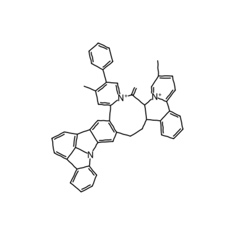 C=C1C2C(CCc3cc4c(cc3-c3cc(C)c(-c5ccccc5)c[n+]31)c1cccc3c5ccccc5n4c31)c1ccccc1-c1ccc(C)c[n+]12